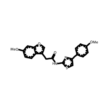 COc1ccc(-c2csc(NC(=O)Cc3coc4cc(OC)ccc34)n2)cc1